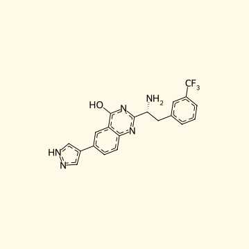 N[C@H](Cc1cccc(C(F)(F)F)c1)c1nc(O)c2cc(-c3cn[nH]c3)ccc2n1